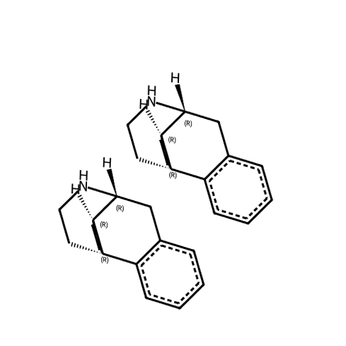 c1ccc2c(c1)C[C@H]1NCC[C@@]23CCCC[C@@H]13.c1ccc2c(c1)C[C@H]1NCC[C@@]23CCCC[C@@H]13